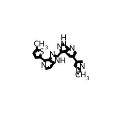 Cc1ccc(-c2nccc3[nH]c(-c4n[nH]c5ncc(-c6cnn(C)c6)cc45)nc23)s1